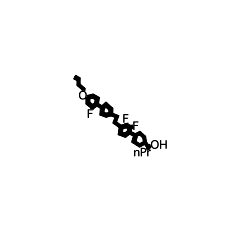 C=CCCOc1ccc(-c2ccc(CCc3ccc(C4=CCC(C(O)CCC)CC4)c(F)c3F)cc2)c(F)c1